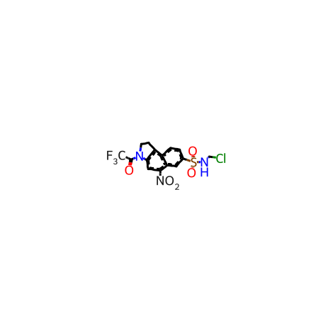 O=C(N1CCc2c1cc([N+](=O)[O-])c1cc(S(=O)(=O)NCCl)ccc21)C(F)(F)F